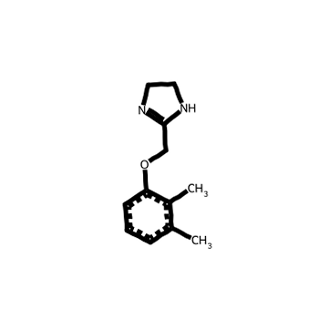 Cc1cccc(OCC2=NCCN2)c1C